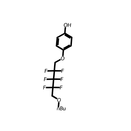 CCCCOCC(F)(F)C(F)(F)C(F)(F)COc1ccc(O)cc1